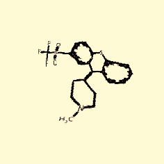 CN1CCC(=C2c3ccccc3Sc3ccc(S(=O)(=O)C(F)(F)F)cc32)CC1